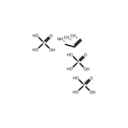 C.C.C=CC.N.O=P(O)(O)O.O=P(O)(O)O.O=P(O)(O)O